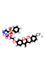 Cc1c(Cc2ccc(C(F)(F)F)cc2)c(=O)oc2cc(OCCO[N+]3([O-])ON=CC3S(=O)(=O)c3ccccc3)ccc12